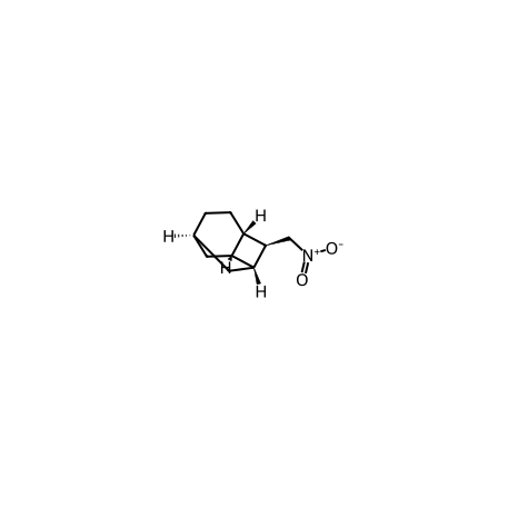 O=[N+]([O-])C[C@@H]1[C@H]2CC[C@@H]3C[C@H]2[C@H]1C3